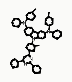 Cc1ccc(N(c2ccccc2)c2ccc3c(c2)c2cc(N(c4ccccc4)c4ccc(C)cc4)ccc2n3-c2ccc(-c3cc(-c4ccccc4)nc(-c4ccccc4)n3)cc2C)cc1